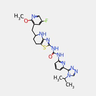 COc1ncc(F)cc1CC1CCc2sc(NC(=O)Nc3cccc(-c4nncn4C(C)C)n3)nc2N1